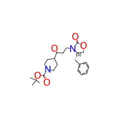 CC(C)(C)OC(=O)N1CCC(C(=O)CCN2C(=O)OC[C@@H]2Cc2ccccc2)CC1